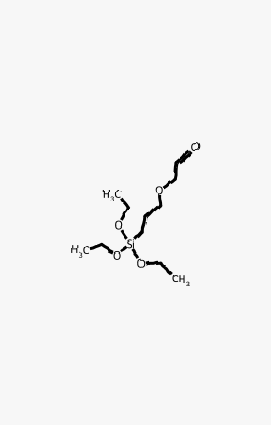 CCO[Si](CCCOCC=O)(OCC)OCC